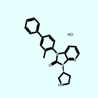 Cc1cc(-c2ccccc2)ccc1-n1c(=O)n([C@H]2CCNC2)c2ncccc21.Cl